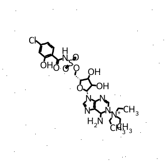 CC[N+](CC)(CC)N1C=Nc2c(ncn2[C@@H]2O[C@H](COS(=O)(=O)NC(=O)c3ccc(Cl)cc3O)C(O)C2O)C1N